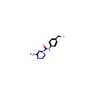 CC1CN(C(=O)Nc2ccc(CC#N)cc2)CCN1